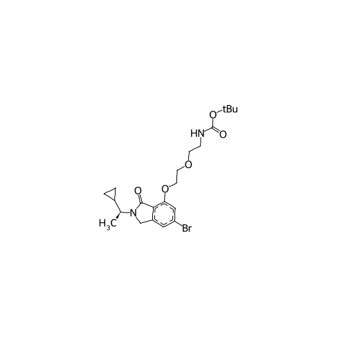 C[C@@H](C1CC1)N1Cc2cc(Br)cc(OCCOCCNC(=O)OC(C)(C)C)c2C1=O